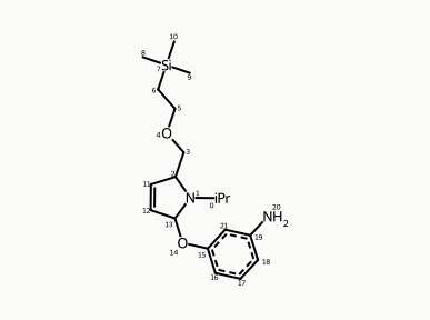 CC(C)N1C(COCC[Si](C)(C)C)C=CC1Oc1cccc(N)c1